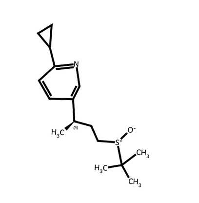 C[C@H](CC[S+]([O-])C(C)(C)C)c1ccc(C2CC2)nc1